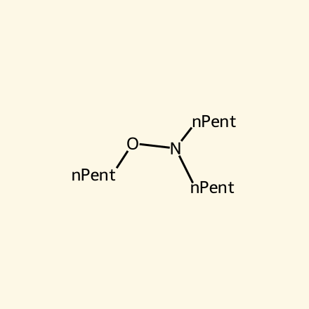 CCCCCON(CCCCC)CCCCC